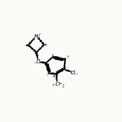 Cc1cc(OC2C[N]C2)ccc1Cl